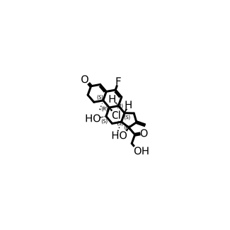 C=C1C[C@H]2[C@@H]3C=C(F)C4=CC(=O)CC[C@]4(C)[C@@]3(Cl)[C@@H](O)C[C@]2(C)[C@@]1(O)C(=O)CO